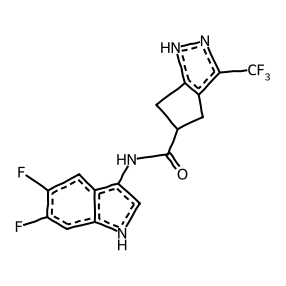 O=C(Nc1c[nH]c2cc(F)c(F)cc12)C1Cc2[nH]nc(C(F)(F)F)c2C1